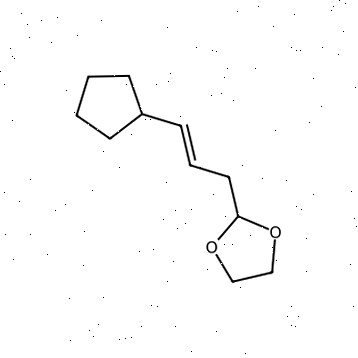 C(=CC1CCCC1)CC1OCCO1